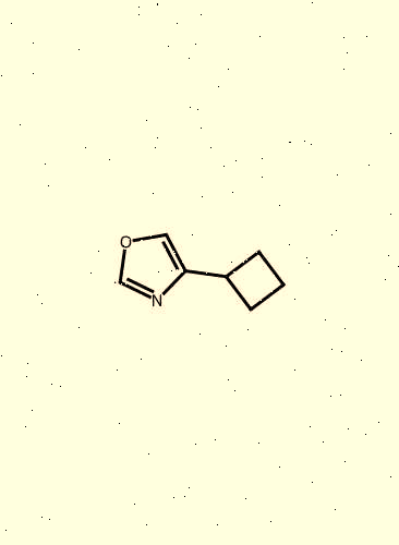 [c]1nc(C2CCC2)co1